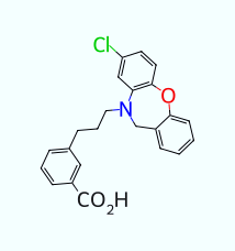 O=C(O)c1cccc(CCCN2Cc3ccccc3Oc3ccc(Cl)cc32)c1